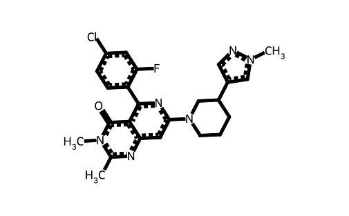 Cc1nc2cc(N3CCCC(c4cnn(C)c4)C3)nc(-c3ccc(Cl)cc3F)c2c(=O)n1C